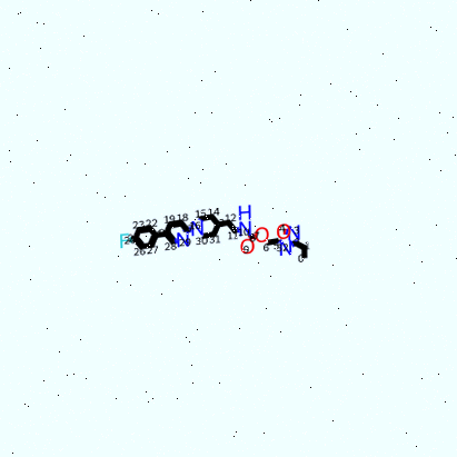 CCc1noc(COC(=O)NCCC2CCN(c3ccc(-c4ccc(F)cc4)cn3)CC2)n1